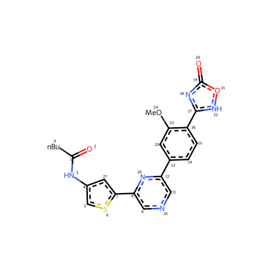 CCCCC(=O)Nc1csc(-c2cncc(-c3ccc(-c4nc(=O)o[nH]4)c(OC)c3)n2)c1